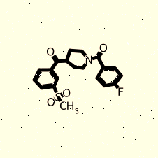 CS(=O)(=O)c1cccc(C(=O)C2CCN(C(=O)c3ccc(F)cc3)CC2)c1